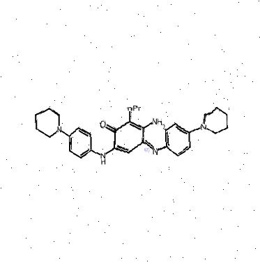 CCCC1=C(N)/C(=N\c2ccc(N3CCCCC3)cc2)C=C(Nc2ccc(N3CCCCC3)cc2)C1=O